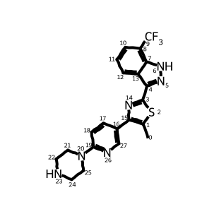 Cc1sc(-c2n[nH]c3c(C(F)(F)F)cccc23)nc1-c1ccc(N2CCNCC2)nc1